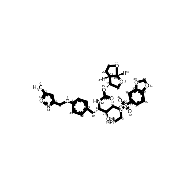 Cc1cc(COc2ccc(C[C@H](NC(=O)O[C@H]3CO[C@H]4OCC[C@H]43)[C@H](O)CN(CC(C)C)S(=O)(=O)c3ccc4c(c3)OCO4)cc2)no1